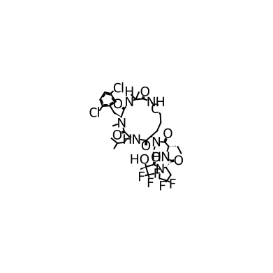 CC[C@H](NC(=O)[C@@H]1CC(F)(F)CN1C(=O)[C@@](C)(O)C(F)(F)F)C(=O)N(C)[C@H]1CCCCNC(=O)C(C)(C)NC(=O)[C@H](Cc2cc(Cl)ccc2Cl)N(C)C(=O)[C@H](CC(C)C)NC1=O